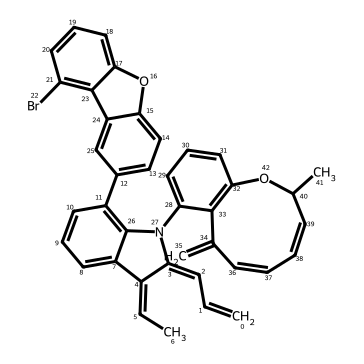 C=C/C=c1\c(=C/C)c2cccc(-c3ccc4oc5cccc(Br)c5c4c3)c2n1-c1cccc2c1C(=C)/C=C\C=C/C(C)O2